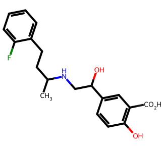 CC(CCc1ccccc1F)NCC(O)c1ccc(O)c(C(=O)O)c1